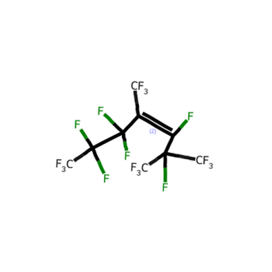 F/C(=C(\C(F)(F)F)C(F)(F)C(F)(F)C(F)(F)F)C(F)(C(F)(F)F)C(F)(F)F